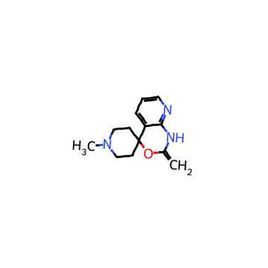 C=C1Nc2ncccc2C2(CCN(C)CC2)O1